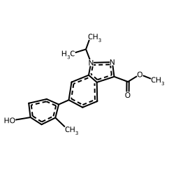 COC(=O)c1nn(C(C)C)c2cc(-c3ccc(O)cc3C)ccc12